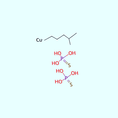 CCCCC(C)C.OP(O)(O)=S.OP(O)(O)=S.[Cu]